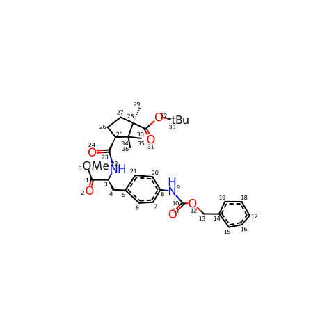 COC(=O)[C@H](Cc1ccc(NC(=O)OCc2ccccc2)cc1)NC(=O)[C@H]1CC[C@@](C)(C(=O)OC(C)(C)C)C1(C)C